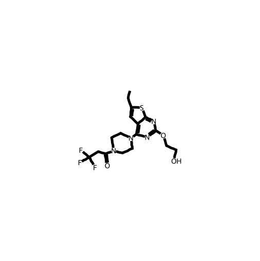 CCc1cc2c(N3CCN(C(=O)CC(F)(F)F)CC3)nc(OCCO)nc2s1